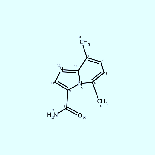 Cc1ccc(C)n2c(C(N)=O)cnc12